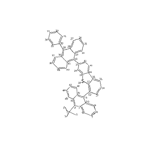 CC(C)(C)c1c2ccccc2c(-c2cccc3c2sc2cc(-c4c5ccccc5c(-c5ccccc5)c5ccccc45)ccc23)c2ccccc12